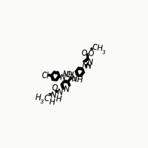 CCNC(=O)Nc1cc(N(N)c2ccc(Cl)cc2)c(C(=O)Nc2ccc(-n3cc(C(=O)OCC)nn3)cc2)cn1